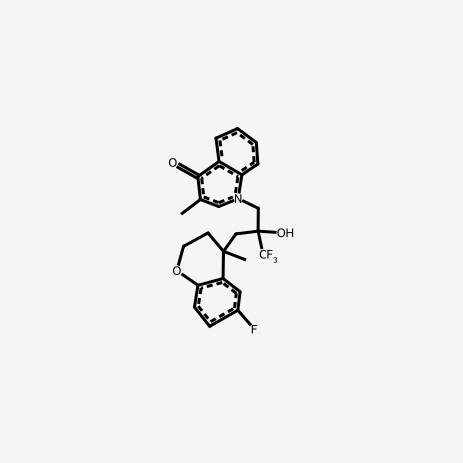 Cc1cn(CC(O)(CC2(C)CCOc3ccc(F)cc32)C(F)(F)F)c2ccccc2c1=O